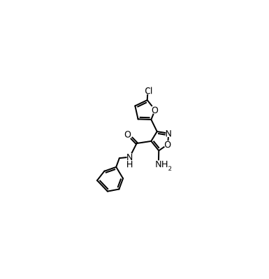 Nc1onc(-c2ccc(Cl)o2)c1C(=O)NCc1ccccc1